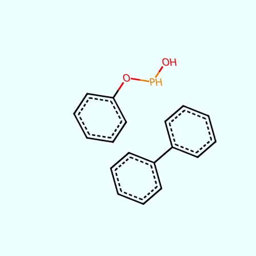 OPOc1ccccc1.c1ccc(-c2ccccc2)cc1